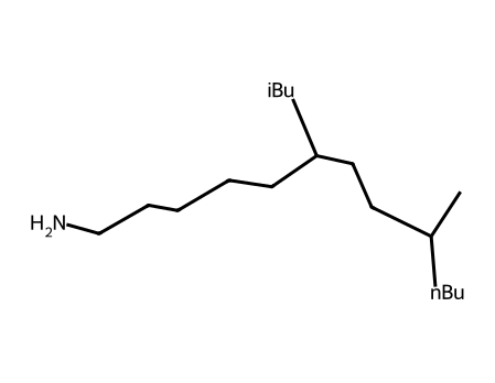 CCCCC(C)CCC(CCCCCN)C(C)CC